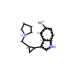 N#Cc1ccc2[nH]cc(C3CC3CN3CCCC3)c2c1